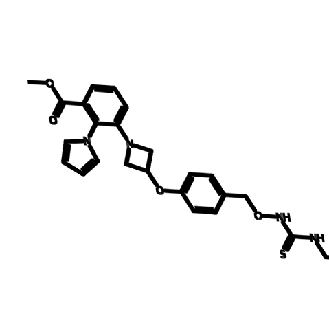 CCNC(=S)NOCc1ccc(OC2CN(c3cccc(C(=O)OC)c3-n3cccc3)C2)cc1